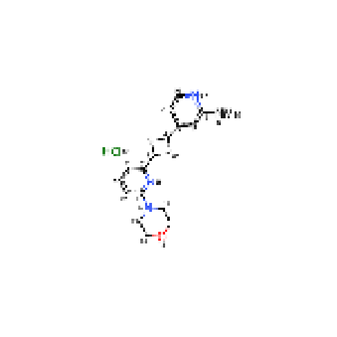 CNc1cc(C2CC(c3cccc(N4CCOCC4)n3)C2)ccn1.Cl